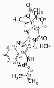 CC[C@@]1(OC(C)=O)C(=O)OCc2c1cc1n(c2=O)Cc2c-1nc1cccc([AsH2])c1c2NCCC(C)C.Cl